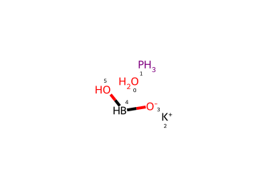 O.P.[K+].[O-]BO